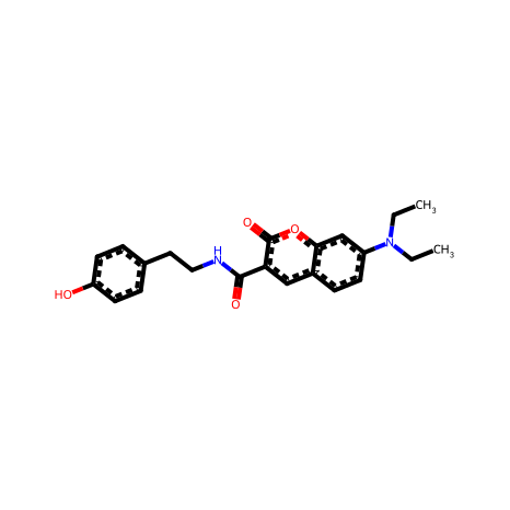 CCN(CC)c1ccc2cc(C(=O)NCCc3ccc(O)cc3)c(=O)oc2c1